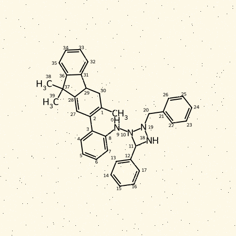 CC1=C(c2ccccc2NN2C(c3ccccc3)NN2Cc2ccccc2)C=C2C(C1)c1ccccc1C2(C)C